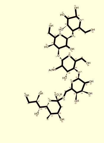 CC(=O)NC1[C@H](O[C@@H]2C(O)[C@H](O[C@@H]3C(CO)OC(O)C(O)[C@H]3O)OC(CO)[C@@H]2O)OC(CO)[C@@H](O[C@@H]2OC(CO[C@]3(C(=O)O)C[C@@H](O)[C@@H](C)[C@H]([C@H](O)[C@H](O)CO)O3)[C@H](O)[C@H](O)C2O)[C@@H]1O